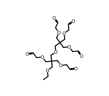 CCOCC(COCC=O)(COCC=O)COCC(COCC=O)(COCC=O)COCC=O